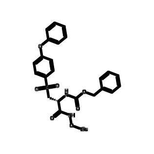 CC(C)(C)ONC(=O)[C@H](CS(=O)(=O)c1ccc(Oc2ccccc2)cc1)NC(=O)OCc1ccccc1